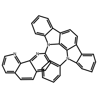 c1ccc(-n2c3ccccc3c3ccc4c5ccccc5n(-c5ccc6ccc7cccnc7c6n5)c4c32)cc1